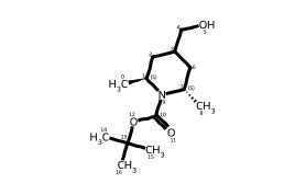 C[C@H]1CC(CO)C[C@H](C)N1C(=O)OC(C)(C)C